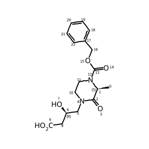 C[C@H]1C(=O)N(C[C@H](O)CC(=O)O)CCN1C(=O)OCc1ccccc1